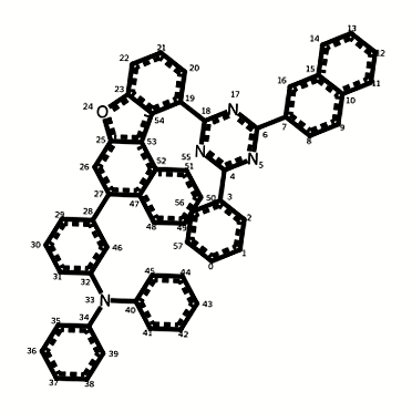 c1ccc(-c2nc(-c3ccc4ccccc4c3)nc(-c3cccc4oc5cc(-c6cccc(N(c7ccccc7)c7ccccc7)c6)c6ccccc6c5c34)n2)cc1